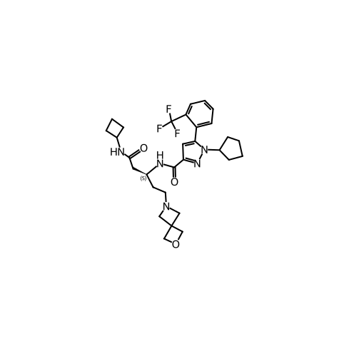 O=C(C[C@H](CCN1CC2(COC2)C1)NC(=O)c1cc(-c2ccccc2C(F)(F)F)n(C2CCCC2)n1)NC1CCC1